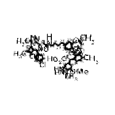 COc1cc([C@@H](CC(=O)O)c2ccc(C)c(CN3C[C@@H](C)Oc4cc(CCCCNC(=O)C[C@@H]5N=C(c6ccc(Cl)cc6)c6c(sc(C)c6C)-n6c(C)nnc65)ccc4S3(=O)=O)c2)cc2c1N(C)NN2